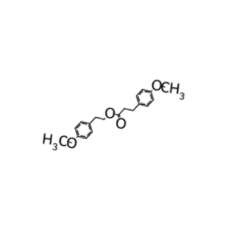 COc1ccc(CCOC(=O)CCc2ccc(OC)cc2)cc1